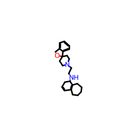 C1=CC2=C(CCCCC2)C(NCCN2CCC3(CC2)OCc2ccccc23)C1